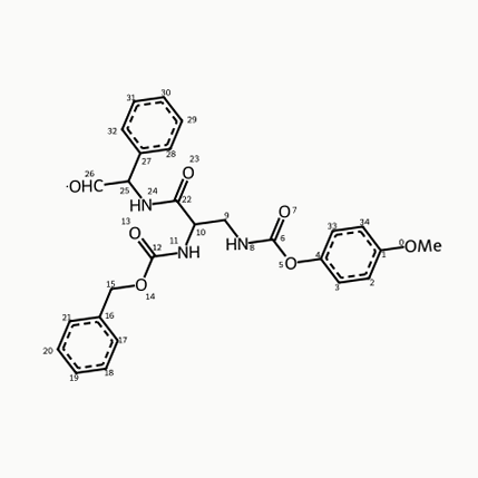 COc1ccc(OC(=O)NCC(NC(=O)OCc2ccccc2)C(=O)NC([C]=O)c2ccccc2)cc1